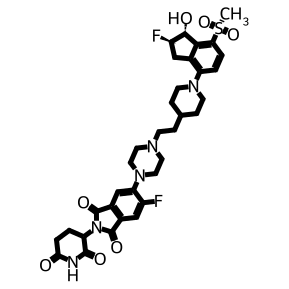 CS(=O)(=O)c1ccc(N2CCC(CCN3CCN(c4cc5c(cc4F)C(=O)N(C4CCC(=O)NC4=O)C5=O)CC3)CC2)c2c1[C@@H](O)[C@H](F)C2